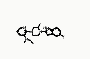 CCN(C)c1cccnc1N1CCN(c2cc3cc(F)ccc3[nH]2)C(C)C1